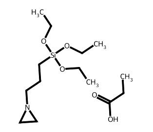 CCC(=O)O.CCO[Si](CCCN1CC1)(OCC)OCC